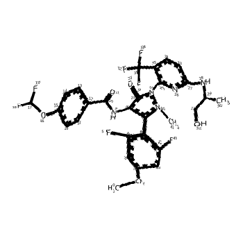 COc1cc(F)c(-c2c(NC(=O)c3ccc(OC(F)F)cc3)c(=O)n(-c3nc(N[C@@H](C)CO)ccc3C(F)(F)F)n2C)c(F)c1